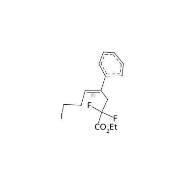 CCOC(=O)C(F)(F)C/C(=C\CCI)c1ccccc1